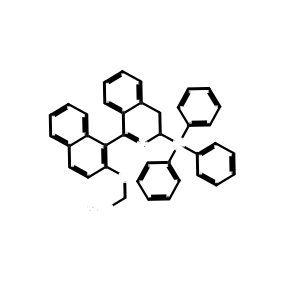 COCOc1ccc2ccccc2c1C1=NC([Si](c2ccccc2)(c2ccccc2)c2ccccc2)Cc2ccccc21